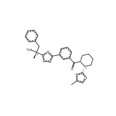 Cc1csc([C@H]2CCCCN2C(=O)c2cccc(-c3nnc([C@](C)(N)Cc4ccccc4)o3)c2)n1